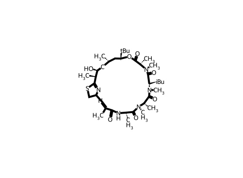 CC[C@H](C)[C@H]1C(=O)N(C)[C@@H](C)C(=O)O[C@H](C(C)(C)C)C[C@@H](C)C[C@H](O)[C@H](C)C2=N[C@@H](/C=C(\C)C(=O)N[C@@H](C)C(=O)N(C)[C@@H](C)C(=O)N1C)CS2